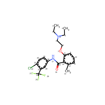 CCN(CC)CCOc1cccc(C)c1C(=O)Nc1ccc(Cl)c(C(F)(F)F)c1